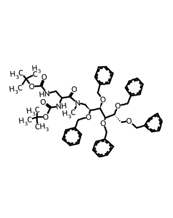 CN(C[C@H](OCc1ccccc1)[C@@H](OCc1ccccc1)[C@H](OCc1ccccc1)[C@@H](COCc1ccccc1)OCc1ccccc1)C(=O)C(CNC(=O)OC(C)(C)C)NC(=O)OC(C)(C)C